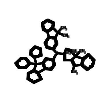 C=C/C(=C\C1=C(C)c2ccccc2C1(C)C)N(c1ccc2c(c1)C(C)(C)c1ccccc1-2)c1ccc2c(c1)C(c1ccccc1)(c1ccccc1)c1ccccc1-2